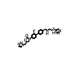 O=C1OC(Cn2ccnn2)CN1c1ccc(-c2ccc(CNCCSc3cnn[nH]3)cc2)c(F)c1